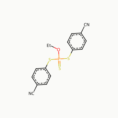 CCOP(=S)(Sc1ccc(C#N)cc1)Sc1ccc(C#N)cc1